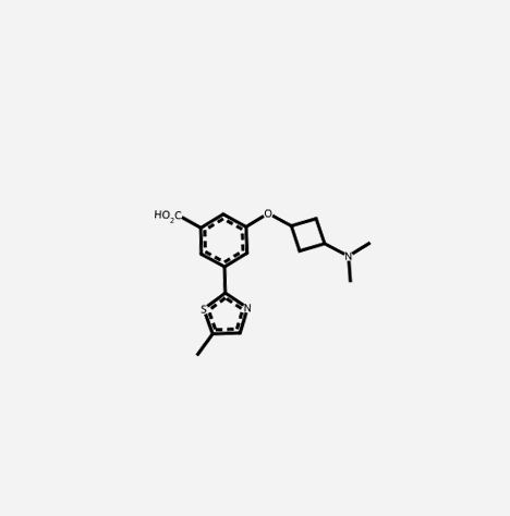 Cc1cnc(-c2cc(OC3CC(N(C)C)C3)cc(C(=O)O)c2)s1